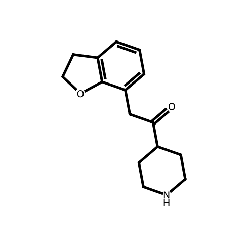 O=C(Cc1cccc2c1OCC2)C1CCNCC1